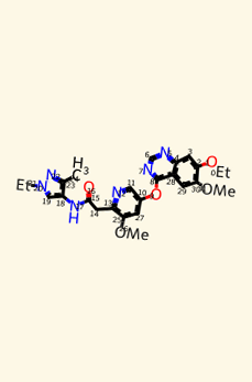 CCOc1cc2ncnc(Oc3cnc(CC(=O)Nc4cn(CC)nc4C)c(OC)c3)c2cc1OC